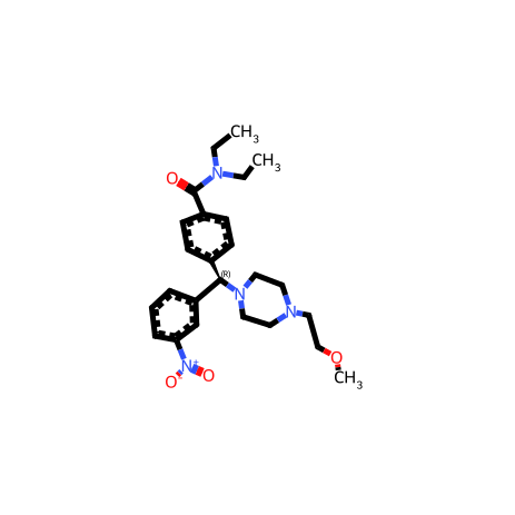 CCN(CC)C(=O)c1ccc([C@H](c2cccc([N+](=O)[O-])c2)N2CCN(CCOC)CC2)cc1